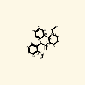 CCN1CCC[C@@H](NCc2ccccc2OC)[C@H]1c1ccccc1